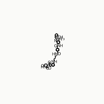 C[C@H]1CCCN1Cc1nc2cc(NC(=O)c3ccc(C(=O)NCCCCCNc4cccc5c4C(=O)N(C4CCC(=O)NC4=O)C5=O)cc3)ccc2[nH]1